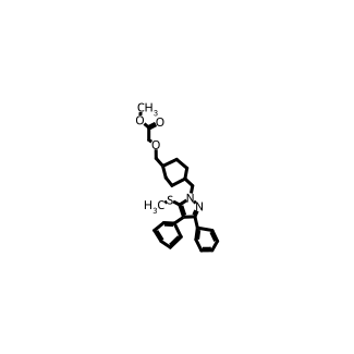 COC(=O)COCC1CCC(Cn2nc(-c3ccccc3)c(-c3ccccc3)c2SC)CC1